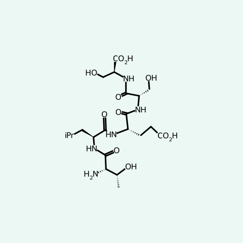 CC(C)C[C@H](NC(=O)[C@@H](N)[C@@H](C)O)C(=O)N[C@@H](CCC(=O)O)C(=O)N[C@@H](CO)C(=O)N[C@@H](CO)C(=O)O